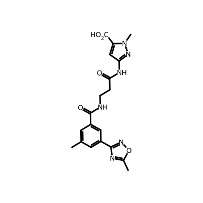 Cc1cc(C(=O)NCCC(=O)Nc2cc(C(=O)O)n(C)n2)cc(-c2noc(C)n2)c1